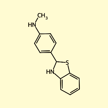 CNc1ccc(C2Nc3ccccc3S2)cc1